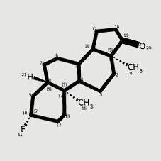 C[C@]12CCC3C(CC[C@H]4C[C@@H](F)CC[C@]34C)C1CCC2=O